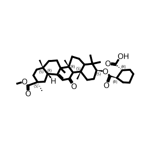 COC(=O)[C@@]1(C)CC[C@]2(C)CCC3(C)C(=CC(=O)C4[C@@]5(C)CC[C@H](OC(=O)[C@@H]6CCCC[C@H]6C(=O)O)C(C)(C)C5CC[C@]43C)[C@@H]2C1